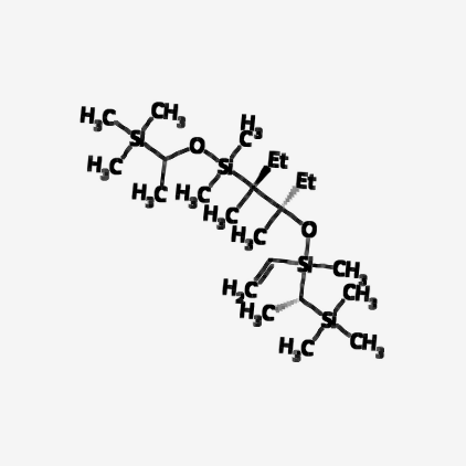 C=C[Si](C)(O[C@](C)(CC)[C@@](C)(CC)[Si](C)(C)OC(C)[Si](C)(C)C)[C@@H](C)[Si](C)(C)C